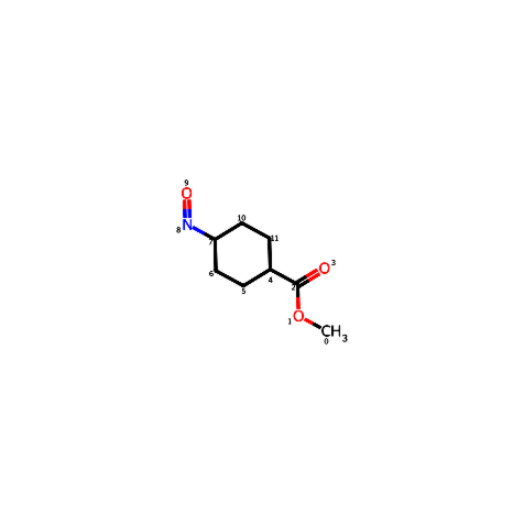 COC(=O)C1CCC(N=O)CC1